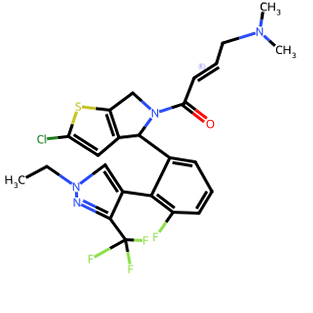 CCn1cc(-c2c(F)cccc2C2c3cc(Cl)sc3CN2C(=O)/C=C/CN(C)C)c(C(F)(F)F)n1